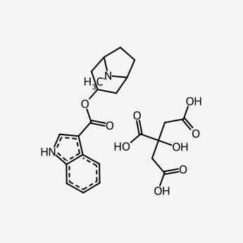 CN1C2CCC1CC(OC(=O)c1c[nH]c3ccccc13)C2.O=C(O)CC(O)(CC(=O)O)C(=O)O